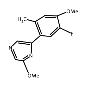 COc1cncc(-c2cc(F)c(OC)cc2C)n1